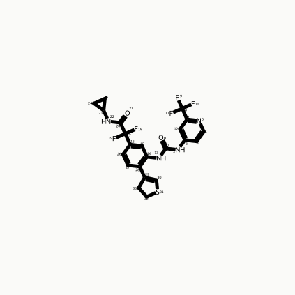 O=C(Nc1ccnc(C(F)(F)F)c1)Nc1cc(C(F)(F)C(=O)NC2CC2)ccc1C1=CSCC1